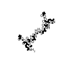 C=CSC(/C=C\C1=C(C(=O)OCOC(=O)C(C)(C)C)N2C(=O)C(NC(=O)C(=C)c3csc(NCNc4nc(C(=C)C(=O)N[C@@H]5C(=O)N6C(C(=O)OCOC(=O)C(C)(C)C)=C(/C=C\c7scnc7C)CS[C@H]56)cs4)n3)[C@H]2SC1)=C(/C)N